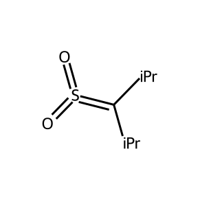 CC(C)C(C(C)C)=S(=O)=O